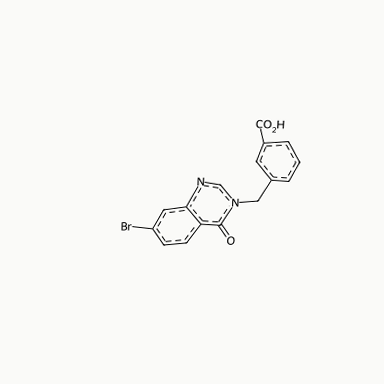 O=C(O)c1cccc(Cn2cnc3cc(Br)ccc3c2=O)c1